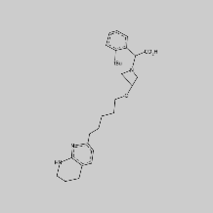 CC(C)(C)c1ccccc1C(C(=O)O)N1CC(OCCCCCc2ccc3c(n2)NCCC3)C1